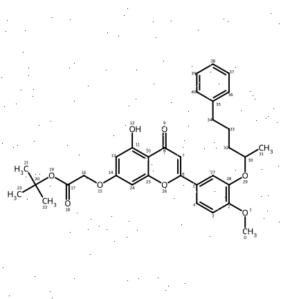 COc1ccc(-c2cc(=O)c3c(O)cc(OCC(=O)OC(C)(C)C)cc3o2)cc1OC(C)CCCc1ccccc1